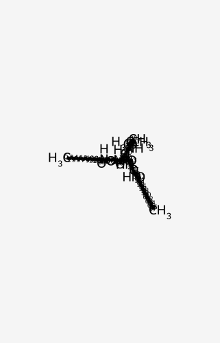 CCCCCCCCCCCCCCCC(=O)NCCOCCNC(=O)c1cc(OCCNC(=O)OC(C)(C)C)cc(C(=O)NCCOCCNC(=O)CCCCCCCCCCCCCCC)c1